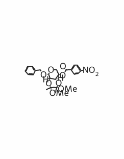 CO[C@@]1(C)O[C@@H]2[C@H](OCc3ccccc3)OC[C@H](OC(=O)c3ccc([N+](=O)[O-])cc3)[C@H]2O[C@]1(C)OC